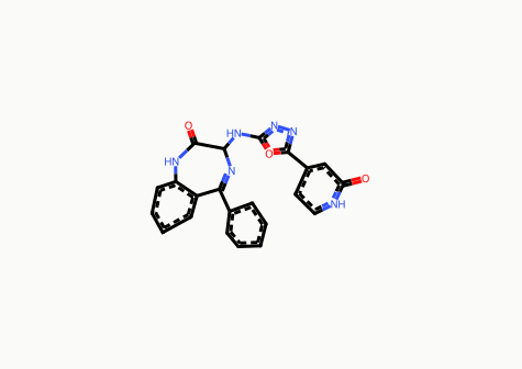 O=C1Nc2ccccc2C(c2ccccc2)=NC1Nc1nnc(-c2cc[nH]c(=O)c2)o1